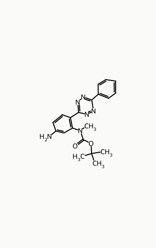 CN(C(=O)OC(C)(C)C)c1cc(N)ccc1-c1nnc(-c2ccccc2)nn1